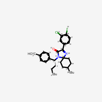 CC(C)(C)CC[C@H](c1ccc(C(=O)O)cc1)N1C(=O)C(c2ccc(F)c(Cl)c2)=NC12CCC(C(C)(C)C)CC2